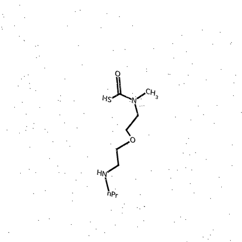 CCCNCCOCCN(C)C(=O)S